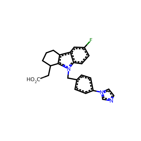 O=C(O)CC1CCCc2c1n(Cc1ccc(-n3ccnc3)cc1)c1ccc(F)cc21